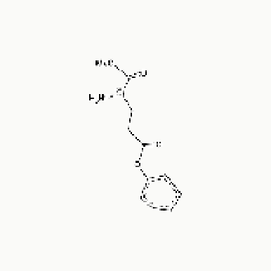 COC(=O)[C@@H](N)CCC(=O)Oc1ccccc1